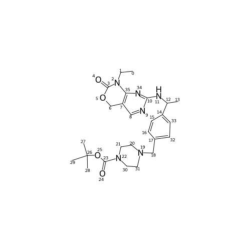 CCN1C(=O)OCc2cnc(NC(C)c3ccc(CN4CCN(C(=O)OC(C)(C)C)CC4)cc3)nc21